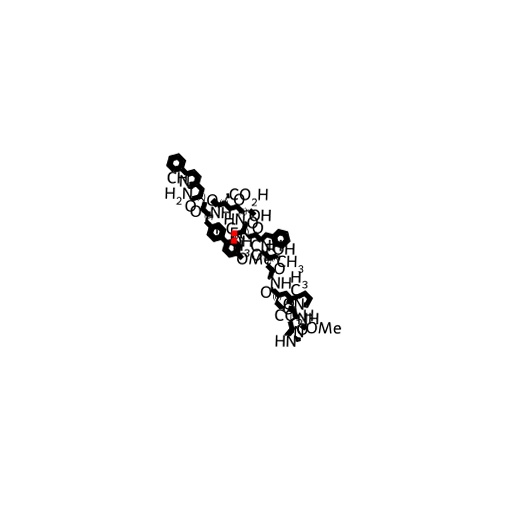 CCc1cc(OC)ccc1-c1ccc(C[C@H](NC(=O)[C@H](CC(=O)O)CC(=O)[C@H](CO)NC(=O)[C@@H](CC(=O)C(C)(Cc2ccccc2F)NC(=O)[C@@H](CC(=O)CNC(=O)[C@H](CCC(=O)O)CC(=O)C2(C)CCCN2C(=O)[C@H](Cc2c[nH]cn2)NC(=O)OC)[C@@H](C)O)[C@@H](C)O)C(=O)C[C@@H](Cc2ccc(-c3ccccc3C)nc2)C(N)=O)cc1